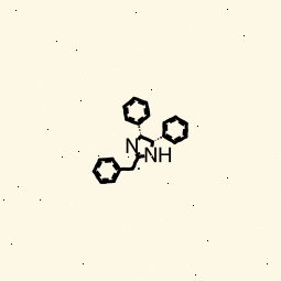 [CH](C1=N[C@H](c2ccccc2)[C@H](c2ccccc2)N1)c1ccccc1